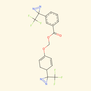 O=C(OCOC1=CCC(C2(C(F)(F)F)N=N2)C=C1)c1cccc(C2(C(F)(F)F)N=N2)c1